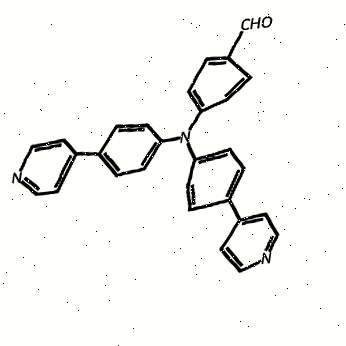 O=Cc1ccc(N(c2ccc(-c3ccncc3)cc2)c2ccc(-c3ccncc3)cc2)cc1